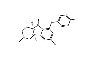 Cc1ccc(Sc2cc(Br)cc3c2N(C)[C@@H]2CCN(C)C[C@H]32)cc1